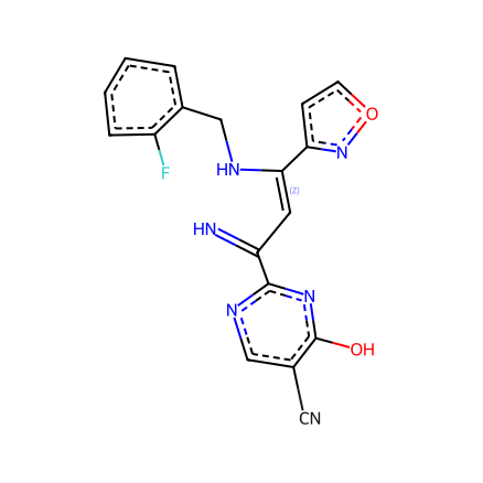 N#Cc1cnc(C(=N)/C=C(\NCc2ccccc2F)c2ccon2)nc1O